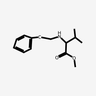 COC(=O)C(NCCc1ccccc1)C(C)C